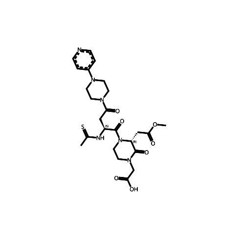 COC(=O)C[C@@H]1C(=O)N(CC(=O)O)CCN1C(=O)[C@H](CC(=O)N1CCN(c2ccncc2)CC1)NC(C)=S